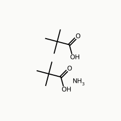 CC(C)(C)C(=O)O.CC(C)(C)C(=O)O.N